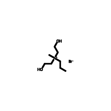 CCC[N+](C)(CCO)CCO.[Br-]